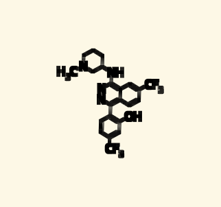 CN1CCCC(Nc2nnc(-c3ccc(C(F)(F)F)cc3O)c3ccc(C(F)(F)F)cc23)C1